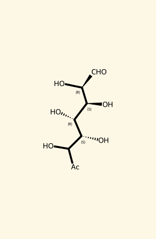 CC(=O)C(O)[C@@H](O)[C@H](O)[C@H](O)[C@@H](O)C=O